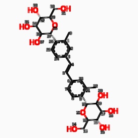 Cc1cc(/C=C/c2ccc([C@H]3OC(CO)[C@@H](O)C(O)C3O)c(C)c2)ccc1[C@H]1OC(CO)[C@@H](O)C(O)C1O